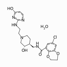 O.O=C(NC[C@@H]1CCN(CCNc2nccc(O)n2)C[C@H]1O)c1cc(Cl)cc2c1OCCO2